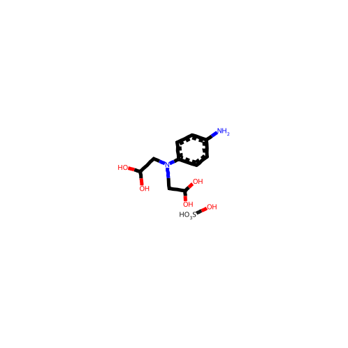 Nc1ccc(N(CC(O)O)CC(O)O)cc1.O=S(=O)(O)O